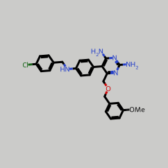 COc1cccc(COCc2nc(N)nc(N)c2-c2ccc(NCc3ccc(Cl)cc3)cc2)c1